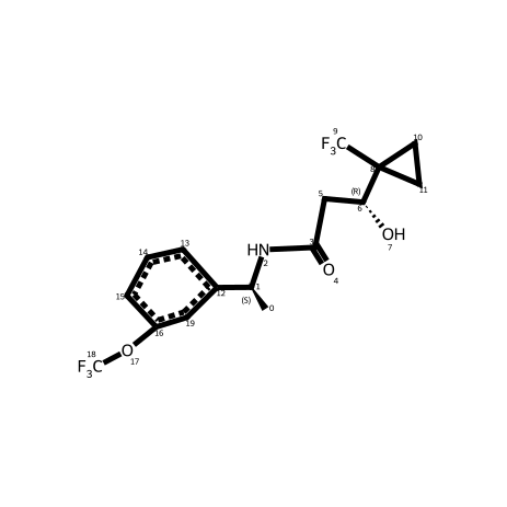 C[C@H](NC(=O)C[C@@H](O)C1(C(F)(F)F)CC1)c1cccc(OC(F)(F)F)c1